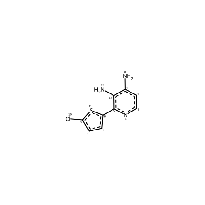 Nc1ccnc(-c2ccc(Cl)s2)c1N